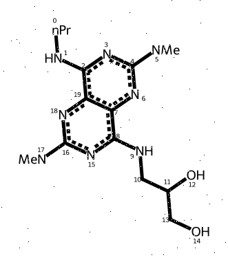 CCCNc1nc(NC)nc2c(NCC(O)CO)nc(NC)nc12